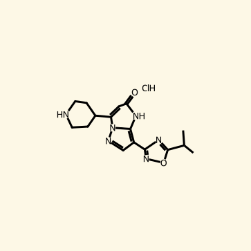 CC(C)c1nc(-c2cnn3c(C4CCNCC4)cc(=O)[nH]c23)no1.Cl